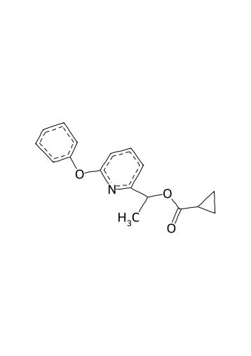 CC(OC(=O)C1CC1)c1cccc(Oc2ccccc2)n1